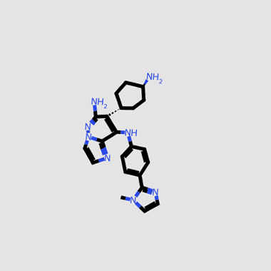 Cn1ccnc1-c1ccc(Nc2c3nccn3nc(N)c2[C@H]2CC[C@H](N)CC2)cc1